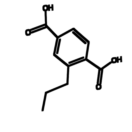 CCCc1cc(C(=O)O)ccc1C(=O)O